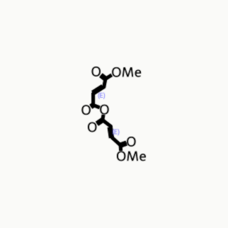 COC(=O)/C=C/C(=O)OC(=O)/C=C/C(=O)OC